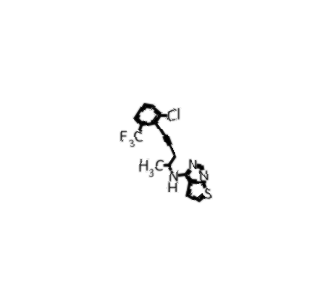 CC(CC#Cc1c(Cl)cccc1C(F)(F)F)Nc1ncnc2sccc12